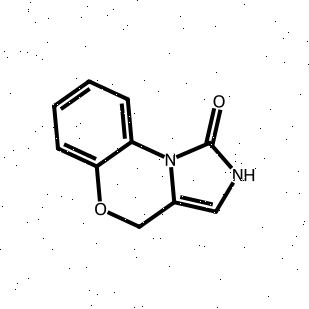 O=c1[nH]cc2n1-c1ccccc1OC2